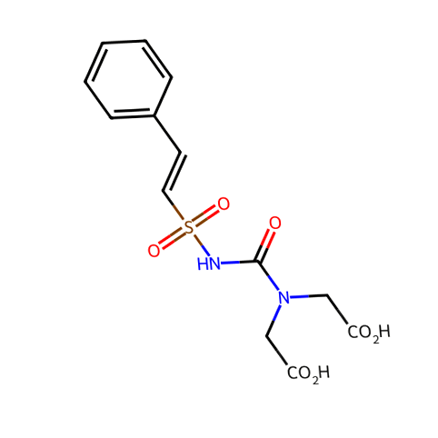 O=C(O)CN(CC(=O)O)C(=O)NS(=O)(=O)C=Cc1ccccc1